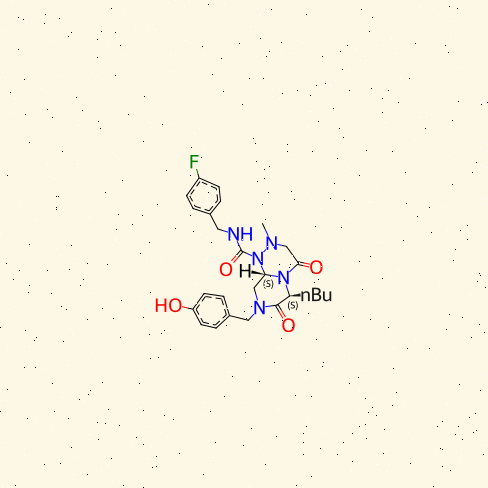 CCCC[C@H]1C(=O)N(Cc2ccc(O)cc2)C[C@H]2N1C(=O)CN(C)N2C(=O)NCc1ccc(F)cc1